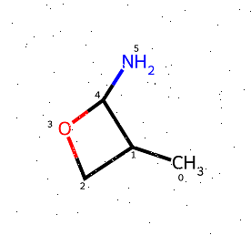 CC1COC1N